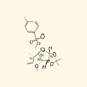 C=C[C@H](C)[C@@]1(COS(=O)(=O)c2ccc(C)cc2)O[C@@H]2OC(C)(C)O[C@@H]2[C@@H]1OC